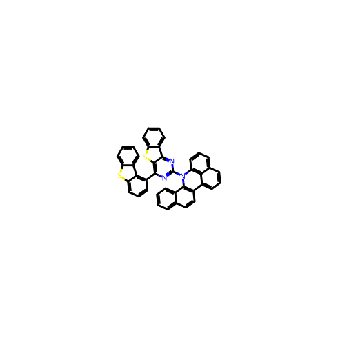 c1ccc2c3c(ccc2c1)-c1cccc2cccc(c12)N3c1nc(-c2cccc3sc4ccccc4c23)c2sc3ccccc3c2n1